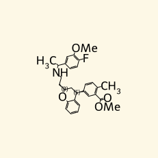 COC(=O)c1cc([C@@H]2C[C@H](CCNC(C)c3ccc(F)c(OC)c3)Oc3ccccc32)ccc1C